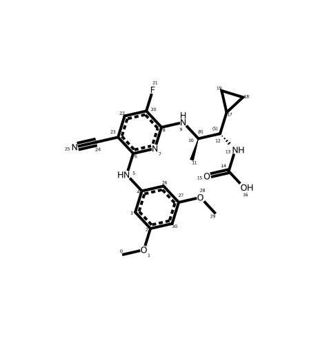 COc1cc(Nc2nc(N[C@H](C)[C@@H](NC(=O)O)C3CC3)c(F)cc2C#N)cc(OC)c1